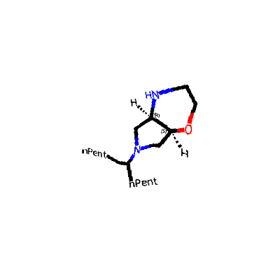 CCCCCC(CCCCC)N1C[C@@H]2OCCN[C@@H]2C1